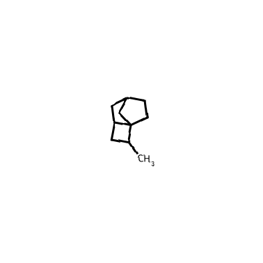 CC1CC2CC3CCC12C3